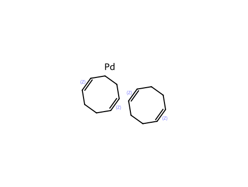 C1=C\CC/C=C\CC/1.C1=C\CC/C=C\CC/1.[Pd]